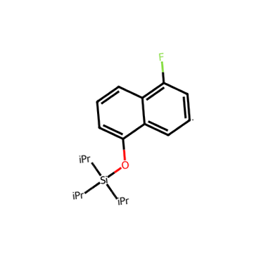 CC(C)[Si](Oc1cccc2c(F)c[c]cc12)(C(C)C)C(C)C